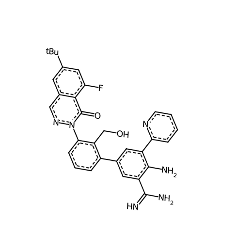 CC(C)(C)c1cc(F)c2c(=O)n(-c3cccc(-c4cc(C(=N)N)c(N)c(-c5ccccn5)c4)c3CO)ncc2c1